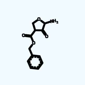 NC1OCC(C(=O)OCc2ccccc2)C1=O